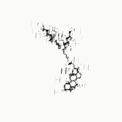 C[C@H](CCC(=O)NCCCN(CCCNC(=O)[C@H](O)[C@@H](O)[C@H](O)[C@H](O)CO)C(=O)[C@H](O)[C@@H](O)[C@H](O)[C@H](O)CO)[C@H]1CCC2C3C(C[C@H](O)[C@@]21C)[C@@]1(C)CC[C@@H](O)C[C@H]1C[C@H]3O